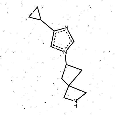 c1nc(C2CC2)cn1C1CC2(CNC2)C1